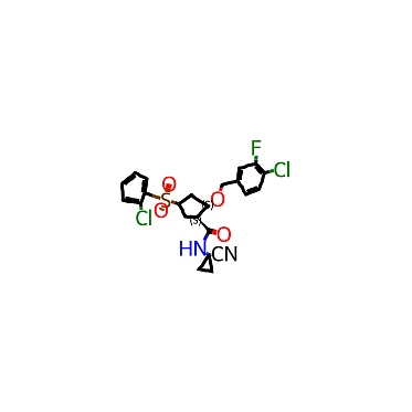 N#CC1(NC(=O)[C@H]2CC(S(=O)(=O)c3ccccc3Cl)C[C@@H]2OCc2ccc(Cl)c(F)c2)CC1